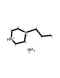 CCCN1CCNCC1.N